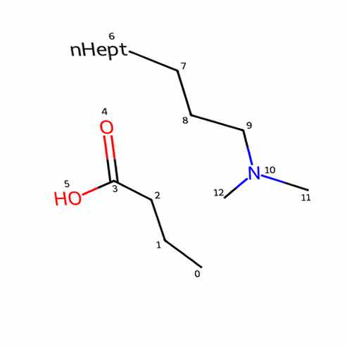 CCCC(=O)O.CCCCCCCCCCN(C)C